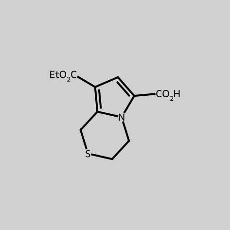 CCOC(=O)c1cc(C(=O)O)n2c1CSCC2